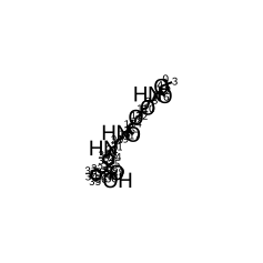 CC(C)(C)OC(=O)NCCOCCOCCC(=O)NCCCNc1ccc(C(C(=O)O)c2ccccc2)cc1